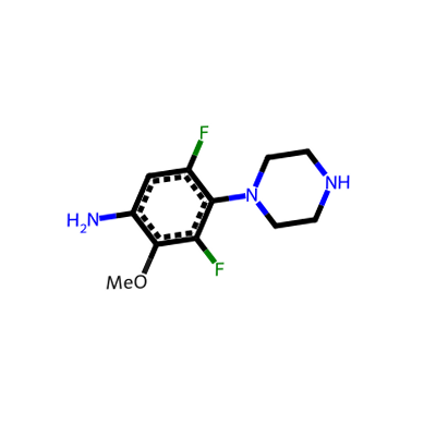 COc1c(N)cc(F)c(N2CCNCC2)c1F